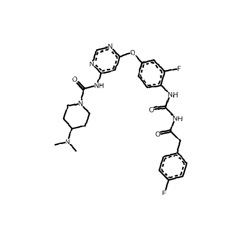 CN(C)C1CCN(C(=O)Nc2cc(Oc3ccc(NC(=O)NC(=O)Cc4ccc(F)cc4)c(F)c3)ncn2)CC1